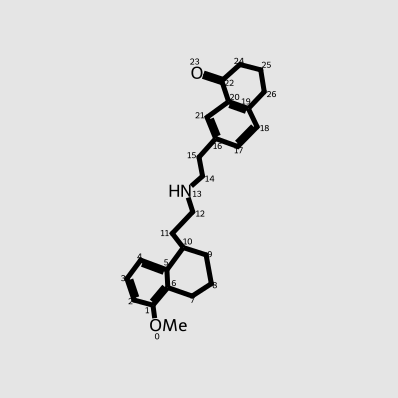 COc1cccc2c1CCCC2CCNCCc1ccc2c(c1)C(=O)CCC2